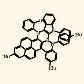 CC(C)(C)c1ccc(N2B3c4c(c5ccc6cc(C(C)(C)C)cc7ccc(c4N(c4ccccc4C(C)(C)C)c4c3n(-c3ccccc3)c3ccccc43)c5c67)-c3cc(C(C)(C)C)ccc32)cc1